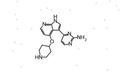 Nc1nccc(-c2c[nH]c3nccc(OC4CCNCC4)c23)n1